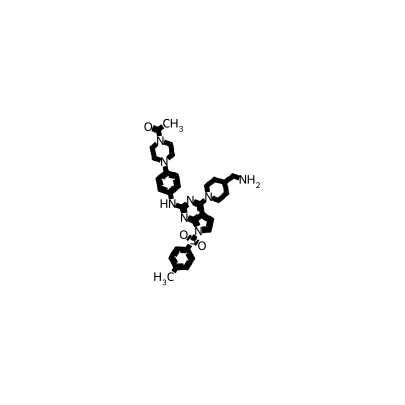 CC(=O)N1CCN(c2ccc(Nc3nc(N4CCC(CN)CC4)c4ccn(S(=O)(=O)c5ccc(C)cc5)c4n3)cc2)CC1